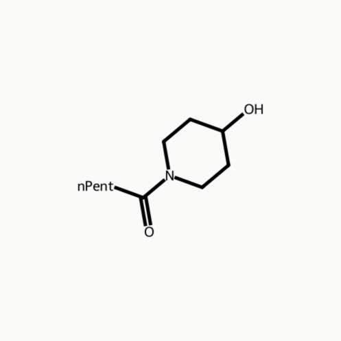 CCCCCC(=O)N1CCC(O)CC1